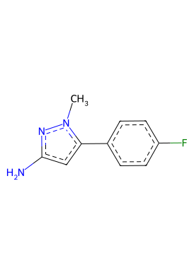 Cn1nc(N)cc1-c1ccc(F)cc1